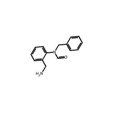 NCc1ccccc1N([C]=O)Cc1ccccc1